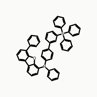 c1ccc(-c2cccc3c2oc2c(N(c4ccccc4)c4ccc(-c5cccc([Si](c6ccccc6)(c6ccccc6)c6ccccc6)c5)cc4)cccc23)cc1